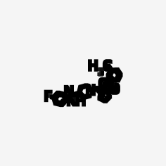 Cc1cccc(S(=O)(=O)N2CCCC2CN2CCC(c3nc4cc(F)ccc4[nH]3)CC2)c1